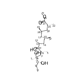 CC[C@@H](O)[C@@](C)(O)C[C@@H](C)C(O)C(C)C[C@H](C)C[C@@H](C)C[C@@H](C)C(=O)OC